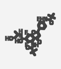 CC(CO)NC(O)c1c(F)c(NC(=O)C(C)(C)C)c2c(=O)cc(-c3ccc(NC(=O)C(C)(C)C)c(F)c3)oc2c1F